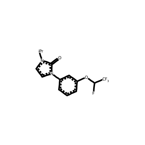 CC(C)n1ccn(-c2cccc(OC(F)C(F)(F)F)c2)c1=O